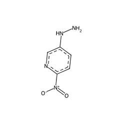 NNc1ccc([N+](=O)[O-])nc1